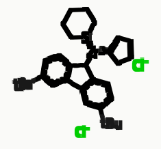 CC(C)(C)c1ccc2c(c1)-c1cc(C(C)(C)C)ccc1[CH]2[Zr+2]([C]1=CC=CC1)=[Si]1CCCCC1.[Cl-].[Cl-]